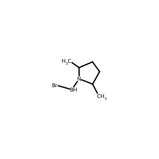 CC1CCC(C)N1BBr